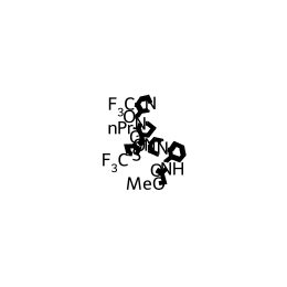 CCC[C@H]1N(C(=O)c2cnccc2C(F)(F)F)CCC[C@@]1(Oc1csc(C(F)(F)F)c1)C(=O)N1CCN(c2ccccc2CNC(=O)COC)CC1